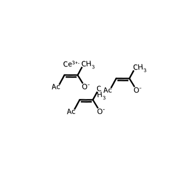 CC(=O)/C=C(/C)[O-].CC(=O)/C=C(/C)[O-].CC(=O)/C=C(/C)[O-].[Ce+3]